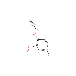 C#CCOc1ccc(C)cc1OC